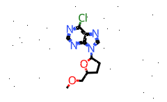 COCC1CCC(n2cnc3c(Cl)ncnc32)O1